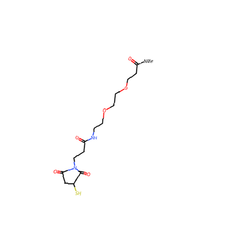 CNC(=O)CCOCCOCCNC(=O)CCN1C(=O)CC(S)C1=O